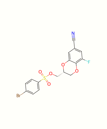 N#Cc1cc(F)c2c(c1)O[C@@H](COS(=O)(=O)c1ccc(Br)cc1)CO2